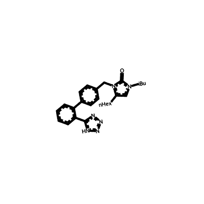 CCCCCCc1cn(C(C)CC)c(=O)n1Cc1ccc(-c2ccccc2-c2nnn[nH]2)cc1